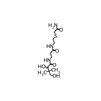 CC(C)(CO)[C@@H](O)C(=O)NCCC(=O)NCCSCC(N)=O